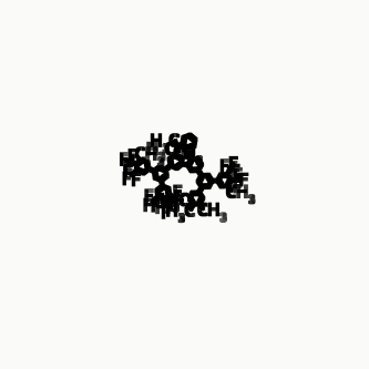 Cc1cc(-c2cc(-c3cc(C)c(C(F)(F)F)c(C(F)(F)F)c3)cc(-c3ccc4c(c3)c3cc(-c5cc(-c6cc(C)c(C(F)(F)F)c(C(F)(F)F)c6)cc(-c6cc(C(F)(F)F)c(C(F)(F)F)c(C(F)(F)F)c6)c5)ccc3n4-c3ccccc3C(C)(C)C)c2)cc(C)c1C